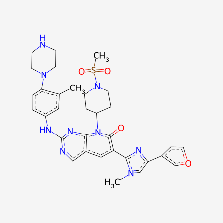 Cc1cc(Nc2ncc3cc(-c4nc(-c5ccoc5)cn4C)c(=O)n(C4CCN(S(C)(=O)=O)CC4)c3n2)ccc1N1CCNCC1